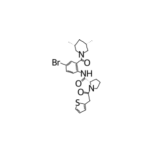 C[C@@H]1C[C@H](C)CN(C(=O)c2cc(Br)ccc2NC(=O)[C@@H]2CCCN2C(=O)Cc2cccs2)C1